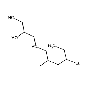 CCC(CN)CC(C)CNCC(O)CO